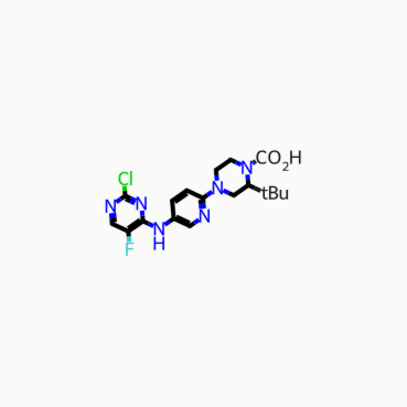 CC(C)(C)C1CN(c2ccc(Nc3nc(Cl)ncc3F)cn2)CCN1C(=O)O